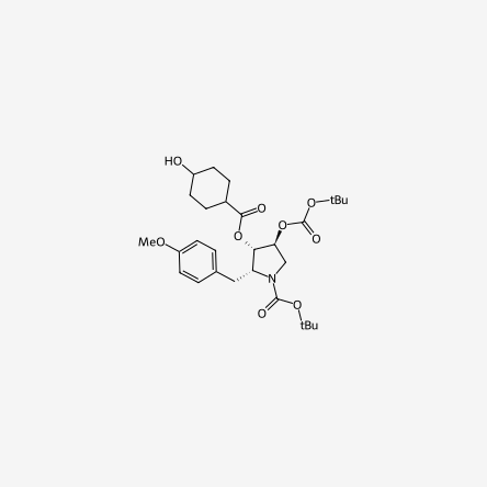 COc1ccc(C[C@@H]2[C@H](OC(=O)C3CCC(O)CC3)[C@@H](OC(=O)OC(C)(C)C)CN2C(=O)OC(C)(C)C)cc1